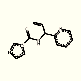 C=CC(NC(=O)n1ccnc1)c1ccccn1